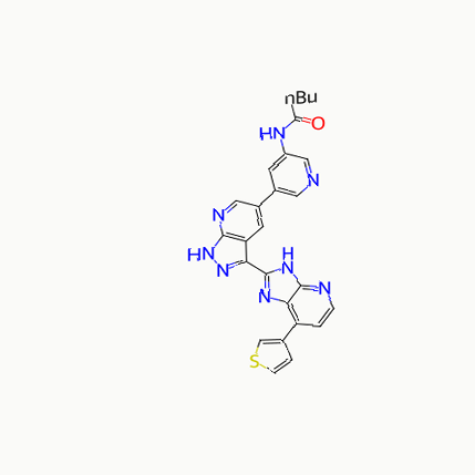 CCCCC(=O)Nc1cncc(-c2cnc3[nH]nc(-c4nc5c(-c6ccsc6)ccnc5[nH]4)c3c2)c1